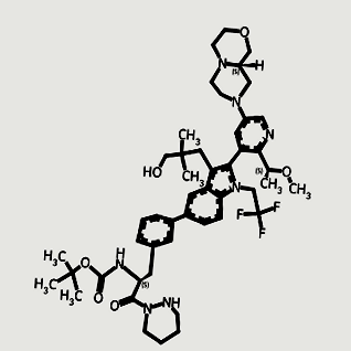 CO[C@@H](C)c1ncc(N2CCN3CCOC[C@@H]3C2)cc1-c1c(CC(C)(C)CO)c2cc(-c3cccc(C[C@H](NC(=O)OC(C)(C)C)C(=O)N4CCCCN4)c3)ccc2n1CC(F)(F)F